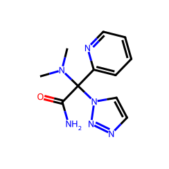 CN(C)C(C(N)=O)(c1ccccn1)n1ccnn1